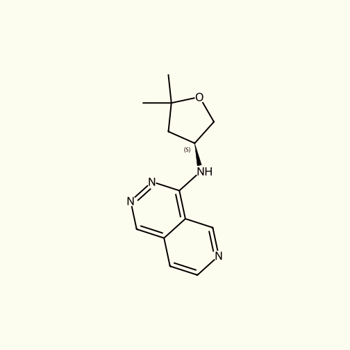 CC1(C)C[C@H](Nc2nncc3ccncc23)CO1